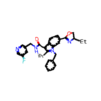 CCC1COC(c2ccc3c(C(=O)NCc4cncc(F)c4)c(C(C)C)n(Cc4ccccc4)c3c2)=N1